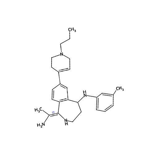 CCCN1CC=C(c2ccc3c(c2)C(Nc2cccc(C)c2)CCN/C3=C(/C)N)CC1